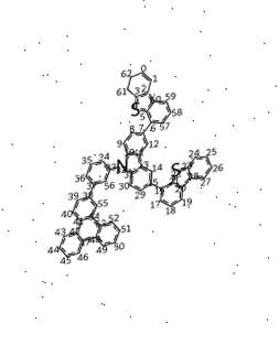 C1=Cc2c(sc3c(-c4ccc5c(c4)c4cc(-c6cccc7c6sc6ccccc67)ccc4n5-c4cccc(-c5ccc6c7ccccc7c7ccccc7c6c5)c4)cccc23)CC1